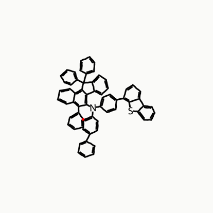 c1ccc(-c2ccc(N(c3ccc(-c4cccc5c4sc4ccccc45)cc3)c3c4c(c5ccccc5c3-c3ccccc3)C(c3ccccc3)(c3ccccc3)c3ccccc3-4)cc2)cc1